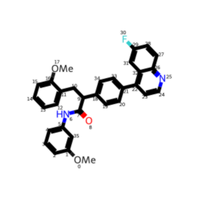 COc1cccc(NC(=O)C(Cc2ccccc2OC)c2ccc(-c3ccnc4ccc(F)cc34)cc2)c1